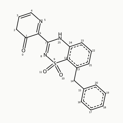 O=C1CC=CN=C1C1=NS(=O)(=O)c2c(Cc3ccccc3)cccc2N1